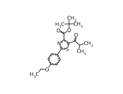 CCOc1ccc(-c2nc(C(=O)OC(C)(C)C)c(C(=O)C(C)C)s2)cc1